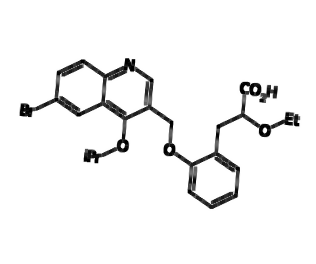 CCOC(Cc1ccccc1OCc1cnc2ccc(Br)cc2c1OC(C)C)C(=O)O